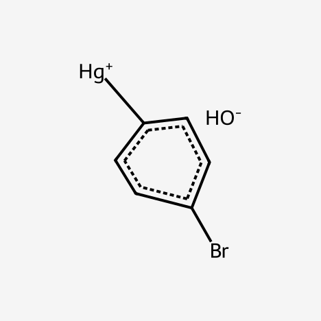 Brc1cc[c]([Hg+])cc1.[OH-]